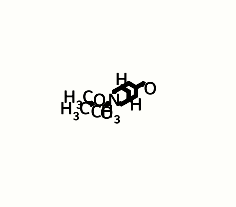 CC(C)(C)OC(=O)N1C[C@H]2CC(C=O)C[C@@H](C2)C1